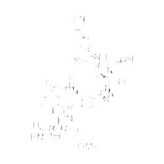 CO[C@@H](C)COc1nc(N2C[C@@H]3C[C@H]2CN3)c2cc(C3CC3)c(-c3c(C)c(F)cc4[nH]ncc34)c(OCc3ccc(-c4cn([C@H](C(=O)N5C[C@H](O)C[C@H]5C(=O)N[C@@H](CO)c5ccc(-c6cccnc6)cc5)C(C)C)nn4)cc3)c2n1